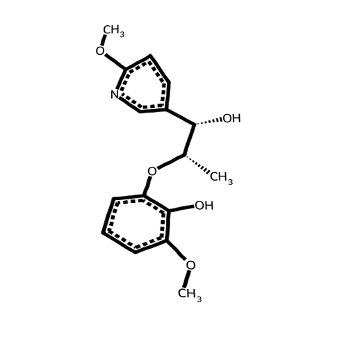 COc1ccc([C@H](O)[C@H](C)Oc2cccc(OC)c2O)cn1